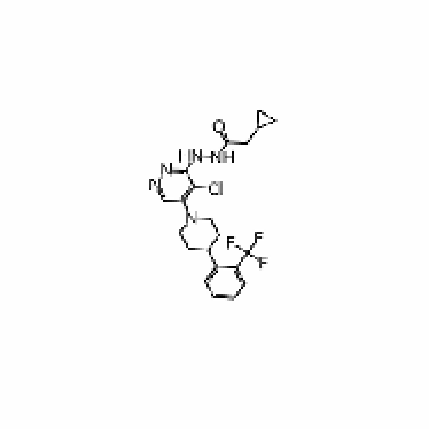 O=C(CC1CC1)NNc1nncc(N2CCC(c3ccccc3C(F)(F)F)CC2)c1Cl